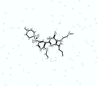 CCCc1nn(CCOC)c2c(=O)[nH]c(-c3cc(S(=O)(=O)N4CCN(C)CC4)cnc3OCC)nc12